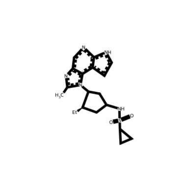 CC[C@@H]1CC(NS(=O)(=O)C2CC2)CC1n1c(C)nc2cnc3[nH]ccc3c21